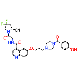 N#C[C@@H]1CC(F)(F)CN1C(=O)CNC(=O)c1ccnc2ccc(OCCCN3CCN(C(=O)c4ccc(O)cc4)CC3)cc12